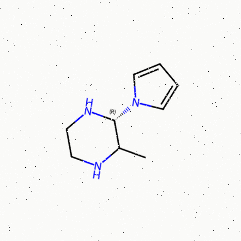 CC1NCCN[C@@H]1n1cccc1